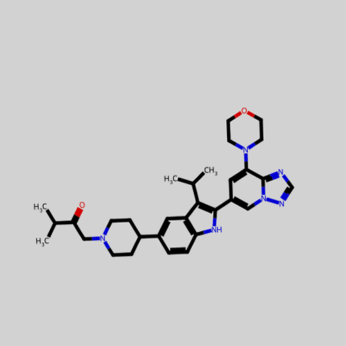 CC(C)C(=O)CN1CCC(c2ccc3[nH]c(-c4cc(N5CCOCC5)c5ncnn5c4)c(C(C)C)c3c2)CC1